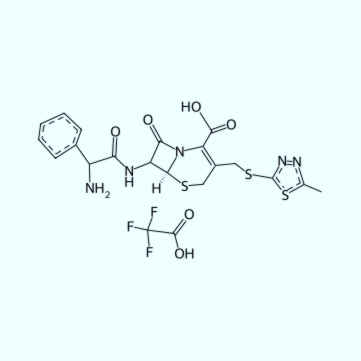 Cc1nnc(SCC2=C(C(=O)O)N3C(=O)C(NC(=O)C(N)c4ccccc4)[C@@H]3SC2)s1.O=C(O)C(F)(F)F